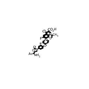 CC(=O)C(N)C1CN(c2ccc(OC3CCN(c4c(F)cc5c(=O)c(C(=O)O)cn6c5c4OCC6C)CC3)c(F)c2)C(=O)O1